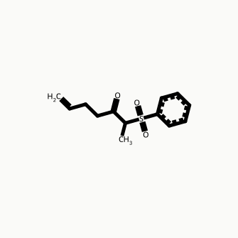 C=CCCC(=O)C(C)S(=O)(=O)c1ccccc1